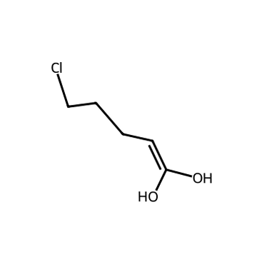 OC(O)=CCCCCl